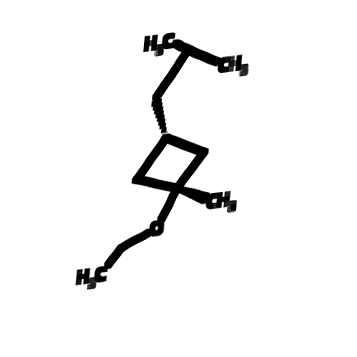 CCO[C@]1(C)C[C@H](CC(C)C)C1